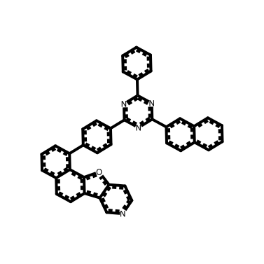 c1ccc(-c2nc(-c3ccc(-c4cccc5ccc6c7cnccc7oc6c45)cc3)nc(-c3ccc4ccccc4c3)n2)cc1